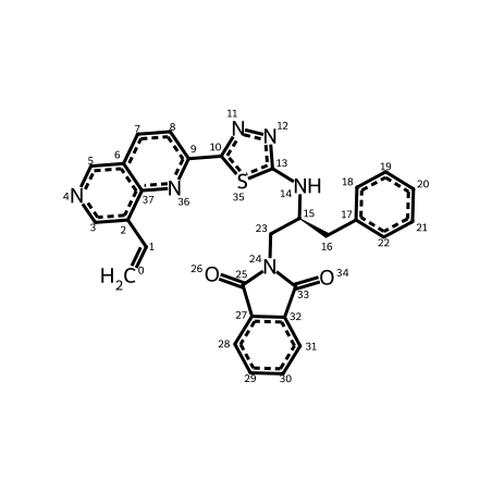 C=Cc1cncc2ccc(-c3nnc(N[C@@H](Cc4ccccc4)CN4C(=O)c5ccccc5C4=O)s3)nc12